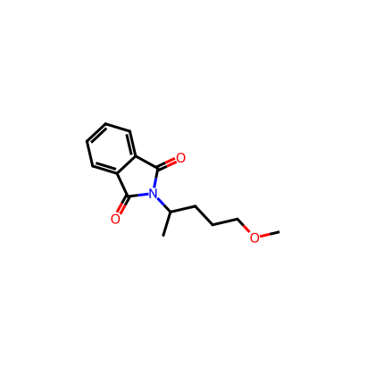 COCCCC(C)N1C(=O)c2ccccc2C1=O